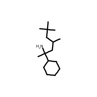 CC(CC(C)(C)C)CC(C)(N)C1CCCCC1